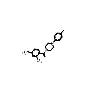 C=C(c1ccc(N)cc1C(F)(F)F)N1CCN(c2ccc(C)cc2)CC1